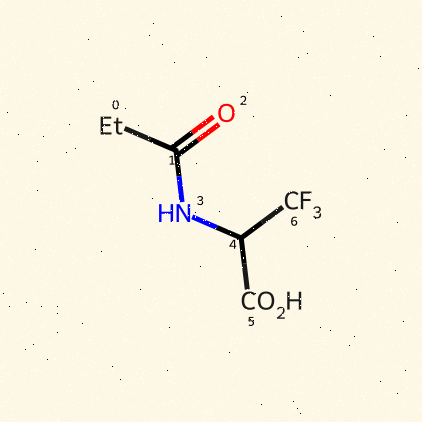 CCC(=O)NC(C(=O)O)C(F)(F)F